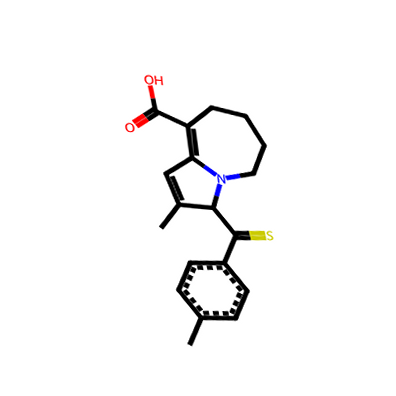 CC1=CC2=C(C(=O)O)CCCCN2C1C(=S)c1ccc(C)cc1